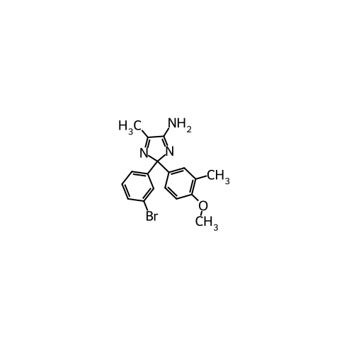 COc1ccc(C2(c3cccc(Br)c3)N=C(C)C(N)=N2)cc1C